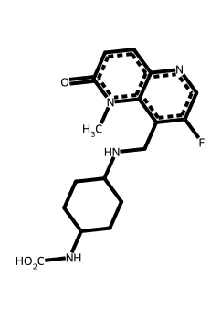 Cn1c(=O)ccc2ncc(F)c(CNC3CCC(NC(=O)O)CC3)c21